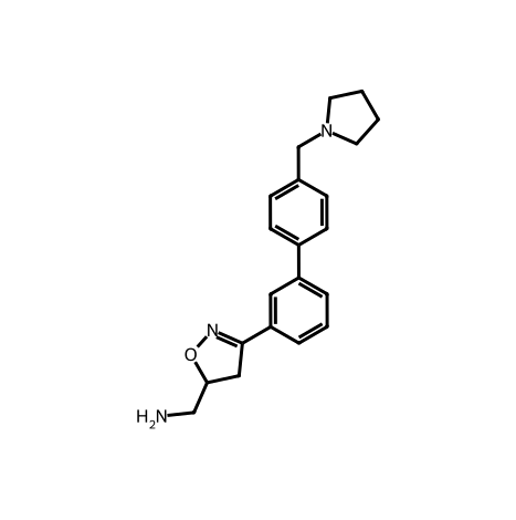 NCC1CC(c2cccc(-c3ccc(CN4CCCC4)cc3)c2)=NO1